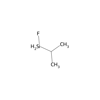 CC(C)[SiH2]F